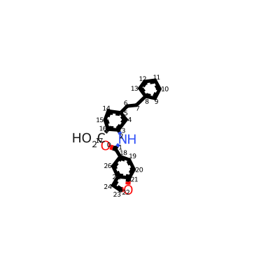 O=C(Nc1cc(CCc2ccccc2)ccc1C(=O)O)c1ccc2occc2c1